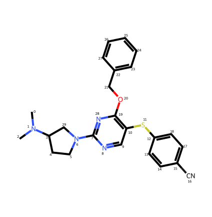 CN(C)C1CCN(c2ncc(Sc3ccc(C#N)cc3)c(OCc3ccccc3)n2)C1